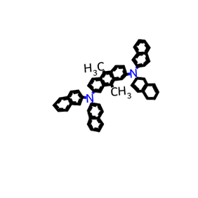 Cc1c2ccc(N(c3ccc4ccccc4c3)c3ccc4ccccc4c3)cc2c(C)c2cc(N(c3ccc4ccccc4c3)C3C=CC4=C(C=CCC4)C3)ccc12